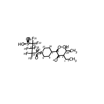 CCC(C(=O)C(=O)C1CCN(S(=O)(=O)C(F)(F)C(F)(F)C(F)(F)S(=O)(=O)O)CC1)C(C)O